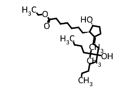 CCCCCC(O)(CC=C1CC[C@@H](O)[C@@H]1CCCCCCC(=O)OCC)C(C)(C)CCCC